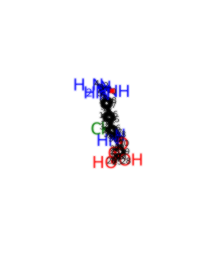 N=c1nc(N)[nH]n1-c1ccc(-c2ccc(-c3cc4nc(O[C@H]5CO[C@H](CO)[C@@H](O)C5)[nH]c4cc3Cl)cc2)cc1